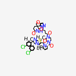 CC[C@@H]1C=C[C@@H](C(=O)N2CCN(C(=O)CCCn3ncc4c3C3(CCC(=O)NC3=O)CO4)[C@H](C)C2)N1C(=O)C1=C(C(C)C)N2C(=N[C@@](C)(c3ccc(Cl)cc3)[C@H]2c2ccc(Cl)cc2)S1